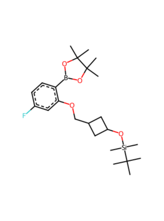 CC1(C)OB(c2ccc(F)cc2OCC2CC(O[Si](C)(C)C(C)(C)C)C2)OC1(C)C